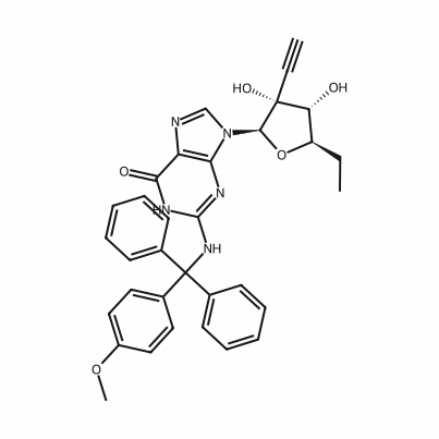 C#C[C@@]1(O)[C@H](O)[C@@H](CC)O[C@H]1n1cnc2c(=O)[nH]c(NC(c3ccccc3)(c3ccccc3)c3ccc(OC)cc3)nc21